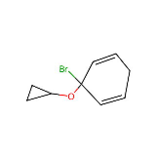 BrC1(OC2CC2)C=CCC=C1